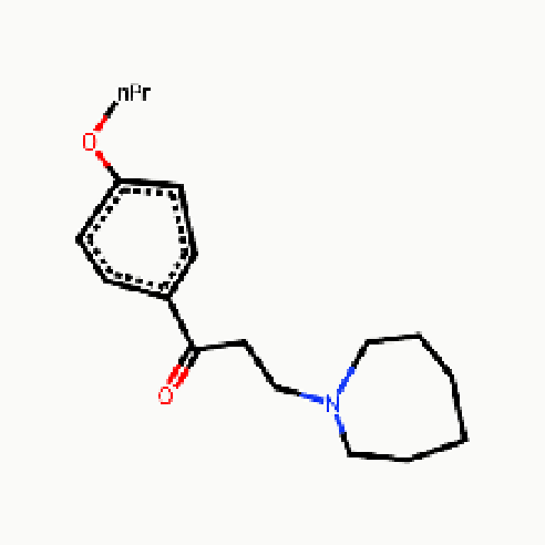 CCCOc1ccc(C(=O)CCN2CCCCCC2)cc1